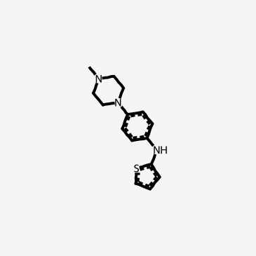 CN1CCN(c2ccc(Nc3cccs3)cc2)CC1